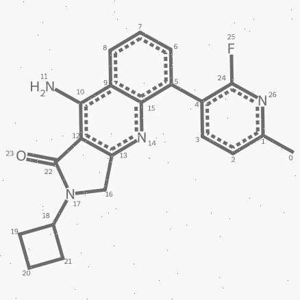 Cc1ccc(-c2cccc3c(N)c4c(nc23)CN(C2CCC2)C4=O)c(F)n1